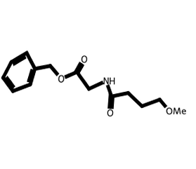 COCCCC(=O)NCC(=O)OCc1ccccc1